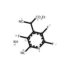 CCOC(=O)[C](C#N)c1c(F)c(F)nc(C#N)c1F.[KH]